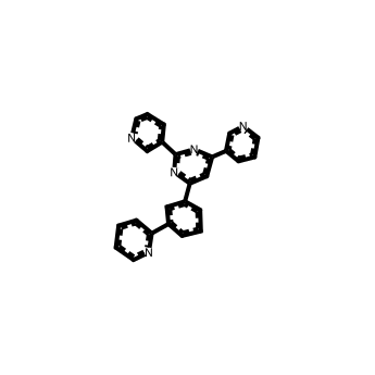 c1ccc(-c2cccc(-c3cc(-c4cccnc4)nc(-c4cccnc4)n3)c2)nc1